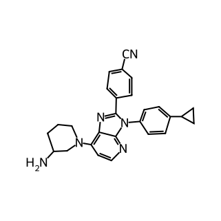 N#Cc1ccc(-c2nc3c(N4CCCC(N)C4)ccnc3n2-c2ccc(C3CC3)cc2)cc1